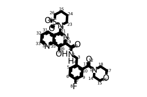 O=C(NCc1ccc(F)cc1C(=O)N1CCOCC1)c1nc(N2CCCCS2(=O)=O)c2cccnc2c1O